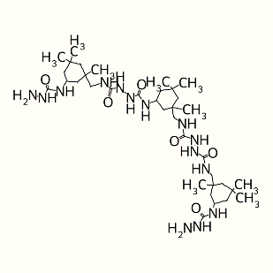 CC1(C)CC(NC(=O)NN)CC(C)(CNC(=O)NNC(=O)NCC2(C)CC(NC(=O)NNC(=O)NCC3(C)CC(NC(=O)NN)CC(C)(C)C3)CC(C)(C)C2)C1